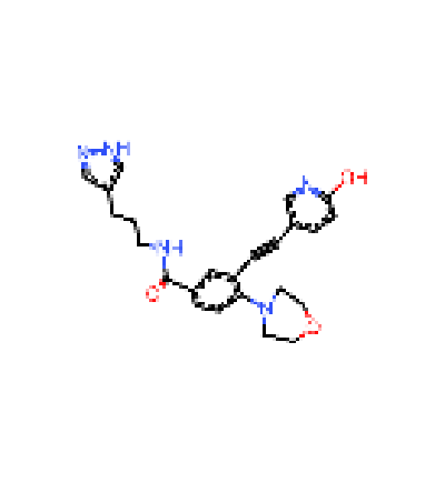 O=C(NCCCc1cn[nH]c1)c1ccc(N2CCOCC2)c(C#Cc2ccc(O)nc2)c1